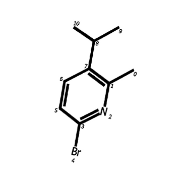 Cc1nc(Br)ccc1C(C)C